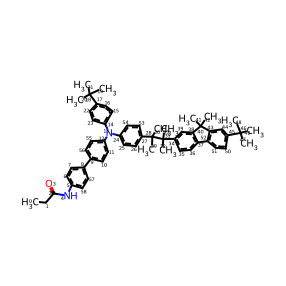 CCC(=O)Nc1ccc(-c2ccc(N(c3ccc(C(C)(C)C)cc3)c3ccc(C(C)(C)C(C)(C)c4ccc5c(c4)C(C)(C)c4cc(C(C)(C)C)ccc4-5)cc3)cc2)cc1